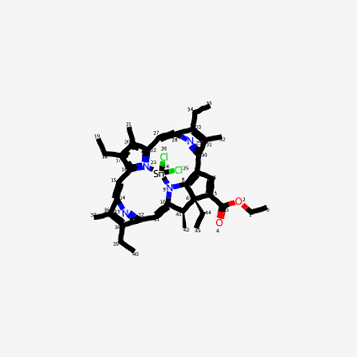 CCOC(=O)C1=CC2=C3[N]4C(=CC5=NC(=Cc6c(CC)c(C)c([n]6[Sn]4([Cl])[Cl])C=C4N=C2C(C)=C4CC)C(C)=C5CC)[C@H](C)[C@@]13CC